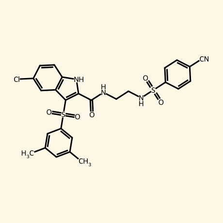 Cc1cc(C)cc(S(=O)(=O)c2c(C(=O)NCCNS(=O)(=O)c3ccc(C#N)cc3)[nH]c3ccc(Cl)cc23)c1